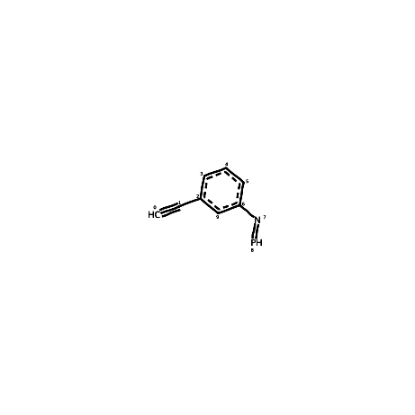 C#Cc1cccc(N=P)c1